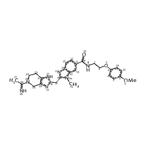 COc1ccc(OCCNC(=O)c2ccc3nc(Cc4nc5c([nH]4)CCN(C(C)=N)C5)n(C)c3c2)cc1